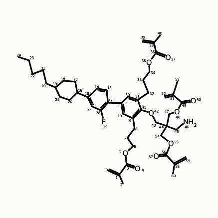 C=C(C)C(=O)OCCCc1cc(-c2ccc(C3CCC(CCCCC)CC3)cc2F)cc(CCCOC(=O)C(=C)C)c1OCC(CN)(COC(=O)C(=C)C)COC(=O)C(=C)C